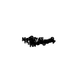 COC(=O)N[C@H](C(=O)N1[C@@H](C)CC[C@H]1c1nc(-c2ccc(-c3ccc(NC(=O)N4CCN(C5CCN(C(=O)C6CC6)CC5)CC4)cc3OC(F)(F)F)cc2)c[nH]1)C(C)C